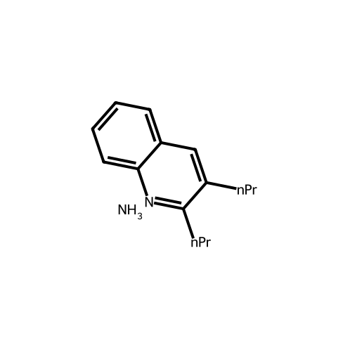 CCCc1cc2ccccc2nc1CCC.N